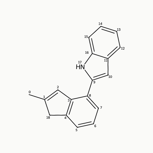 CC1=Cc2c(cccc2-c2cc3ccccc3[nH]2)C1